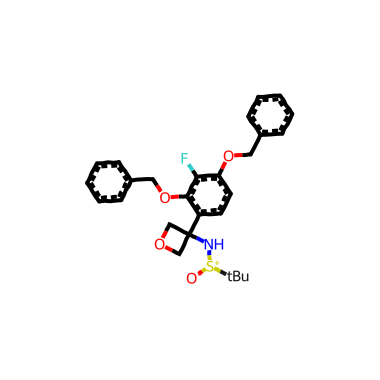 CC(C)(C)[S+]([O-])NC1(c2ccc(OCc3ccccc3)c(F)c2OCc2ccccc2)COC1